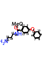 COc1cc(Oc2ccccc2)ccc1C(=O)NCCCN